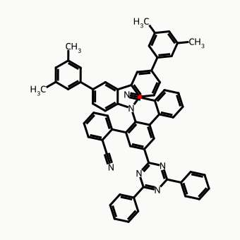 Cc1cc(C)cc(-c2ccc3c(c2)c2cc(-c4cc(C)cc(C)c4)ccc2n3-c2c(-c3ccccc3C#N)cc(-c3nc(-c4ccccc4)nc(-c4ccccc4)n3)cc2-c2ccccc2C#N)c1